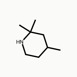 CC1CCNC(C)(C)C1